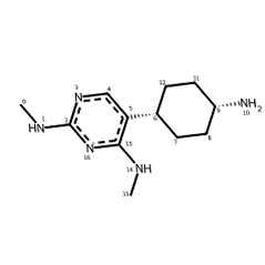 CNc1ncc([C@H]2CC[C@@H](N)CC2)c(NC)n1